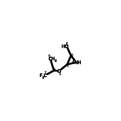 CC(OC1NC1O)C(F)(F)F